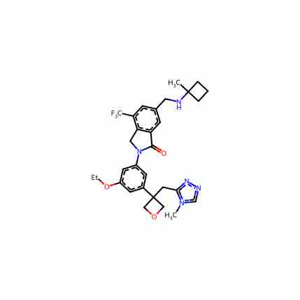 CCOc1cc(N2Cc3c(cc(CNC4(C)CCC4)cc3C(F)(F)F)C2=O)cc(C2(Cc3nncn3C)COC2)c1